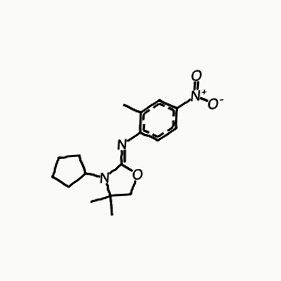 Cc1cc([N+](=O)[O-])ccc1N=C1OCC(C)(C)N1C1CCCC1